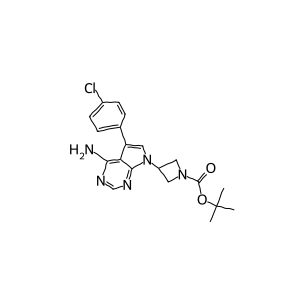 CC(C)(C)OC(=O)N1CC(n2cc(-c3ccc(Cl)cc3)c3c(N)ncnc32)C1